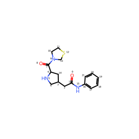 O=C(CC1CNC(C(=O)N2CCSC2)C1)Nc1ccccc1